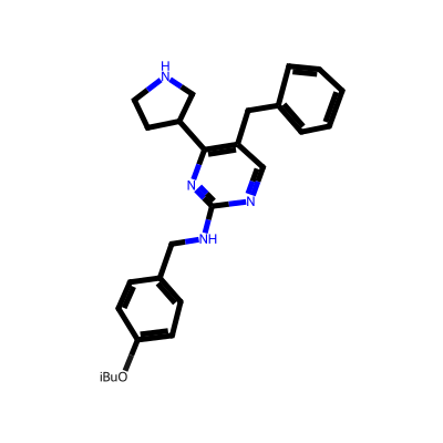 CC(C)COc1ccc(CNc2ncc(Cc3ccccc3)c(C3CCNC3)n2)cc1